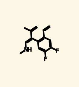 C=Cc1cc(F)c(F)cc1/C(=C\NC)C(=C)C